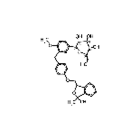 COc1ccc([C@@H]2O[C@H](CO)[C@@H](O)[C@H](O)[C@H]2O)cc1Cc1ccc(OCC2OC(C)(C)c3ccccc32)cc1